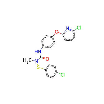 CN(Sc1ccc(Cl)cc1)C(=O)Nc1ccc(Oc2cccc(Cl)n2)cc1